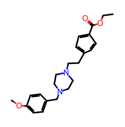 CCOC(=O)c1ccc(CCN2CCN(Cc3ccc(OC)cc3)CC2)cc1